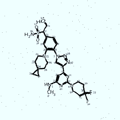 CNc1cc(-c2cn(-c3ccc(C(CO)S(N)(=O)=O)cc3N3CCC4(CC3)CC4)nn2)nc(N2CCC(F)(F)CC2)n1